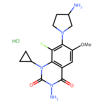 COc1cc2c(=O)n(N)c(=O)n(C3CC3)c2c(F)c1N1CCC(N)C1.Cl